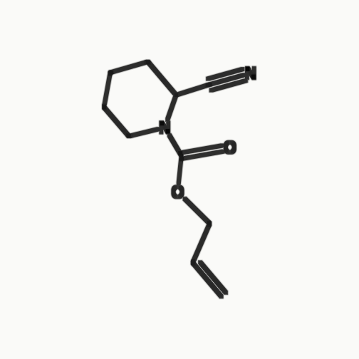 C=CCOC(=O)N1CCCCC1C#N